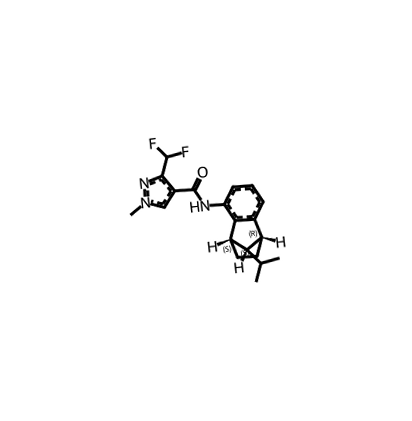 CC(C)[C@@H]1[C@@H]2CC[C@H]1c1cccc(NC(=O)c3cn(C)nc3C(F)F)c12